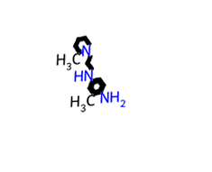 Cc1cc(NCCCN2CCCCC2C)ccc1N